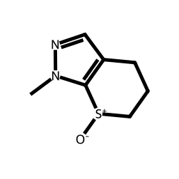 Cn1ncc2c1[S+]([O-])CCC2